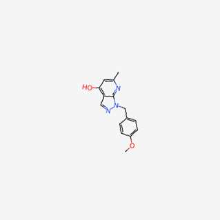 COc1ccc(Cn2ncc3c(O)cc(C)nc32)cc1